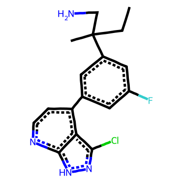 CCC(C)(CN)c1cc(F)cc(-c2ccnc3[nH]nc(Cl)c23)c1